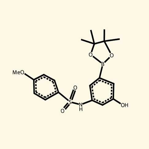 COc1ccc(S(=O)(=O)Nc2cc(O)cc(B3OC(C)(C)C(C)(C)O3)c2)cc1